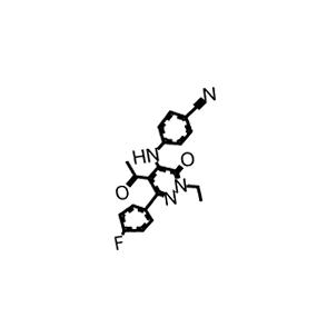 CCn1nc(-c2ccc(F)cc2)c(C(C)=O)c(Nc2ccc(C#N)cc2)c1=O